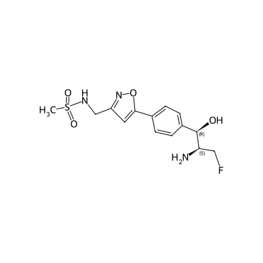 CS(=O)(=O)NCc1cc(-c2ccc([C@@H](O)[C@H](N)CF)cc2)on1